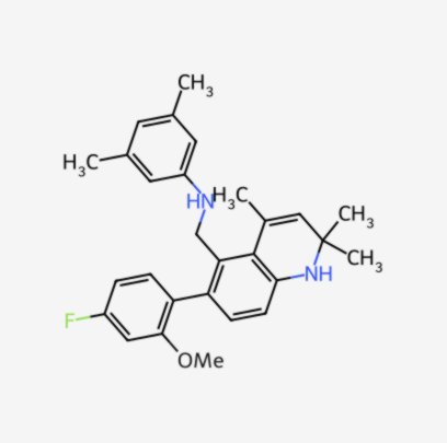 COc1cc(F)ccc1-c1ccc2c(c1CNc1cc(C)cc(C)c1)C(C)=CC(C)(C)N2